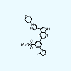 CNS(=O)(=O)c1cc(-c2cnc3[nH]cc(-c4cnn(C5CCOCC5)c4)c3n2)cc(N2CCC[C@H]2C)c1